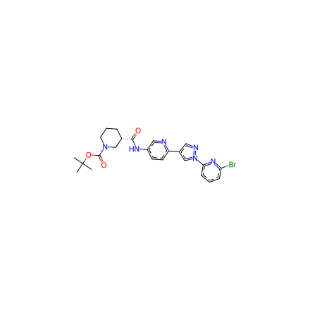 CC(C)(C)OC(=O)N1CCC[C@H](C(=O)Nc2ccc(-c3cnn(-c4cccc(Br)n4)c3)nc2)C1